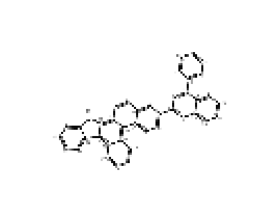 c1ccc(-c2nc(-c3ccc4c(ccc5c6sc7ccccc7c6c6ccccc6c45)c3)nc3ccccc23)cc1